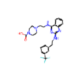 O=C(O)N1CCN(CCNc2nc(NCCc3cccc(C(F)(F)F)c3)nc3ccccc23)CC1